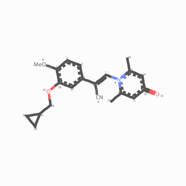 COc1ccc(/C(C#N)=C/n2c(C)cc(=O)cc2C)cc1OCC1CC1